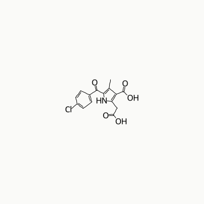 Cc1c(C(=O)c2ccc(Cl)cc2)[nH]c(CC(=O)O)c1C(=O)O